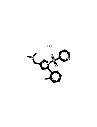 CN(C)Cc1cc(-c2ccccc2F)n(S(=O)(=O)c2cccnc2)c1.Cl